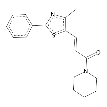 Cc1nc(-c2ccccc2)sc1C=CC(=O)N1CCCCC1